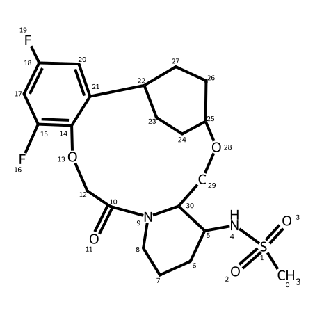 CS(=O)(=O)NC1CCCN2C(=O)COc3c(F)cc(F)cc3C3CCC(CC3)OCC12